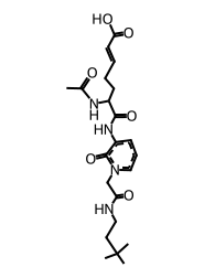 CC(=O)NC(CCC=CC(=O)O)C(=O)Nc1cccn(CC(=O)NCCC(C)(C)C)c1=O